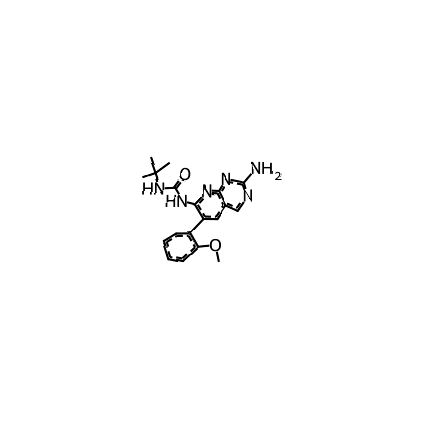 COc1ccccc1-c1cc2cnc(N)nc2nc1NC(=O)NC(C)(C)C